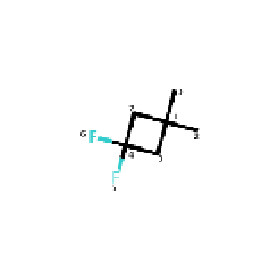 CC1(C)CC(F)(F)C1